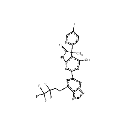 CC1(c2ccc(F)cn2)C(=O)Nc2nc(-c3cn4ncnc4c(CCC(F)(F)C(F)(F)F)n3)nc(O)c21